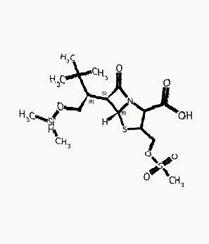 C[SiH](C)OC[C@H]([C@H]1C(=O)N2C(C(=O)O)C(COS(C)(=O)=O)S[C@H]12)C(C)(C)C